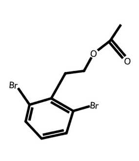 CC(=O)OCCc1c(Br)cccc1Br